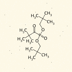 CC(C)(C)COP(=O)(OCC(C)(C)C)C(=O)C(C)(C)C